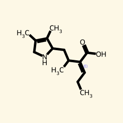 CC/C=C(/C(=O)O)C(C)CC1NCC(C)=C1C